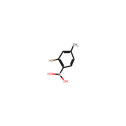 Cc1ccc(B(O)O)c(S)c1